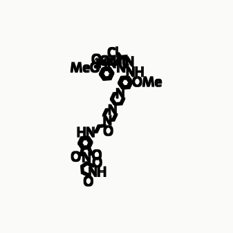 COc1cc(N2CCC(N3CCN(C(=O)CCNc4ccc5c(c4)C(=O)N(C4CCC(=O)NC4=O)C5=O)CC3)CC2)ccc1Nc1ncc(Cl)c(Nc2ccccc2P(=O)(OC)OC)n1